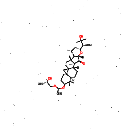 CC(=O)O[C@@H]([C@H]1C[C@@H](C)C2[C@H](O1)C(=O)[C@@]1(C)[C@@H]3CC[C@H]4C(C)(C)[C@@H](O[C@@H](C=O)OC[C@@H](O)C=O)CC[C@@]45C[C@@]35CC[C@]21C)C(C)(C)O